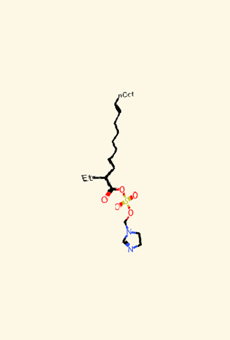 CCCCCCCCC=CCCCCCCC(CC)C(=O)OS(=O)(=O)OCN1C=NCC1